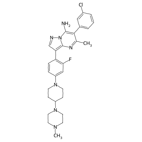 Cc1nc2c(-c3ccc(N4CCC(N5CCN(C)CC5)CC4)cc3F)cnn2c(N)c1-c1cccc(Cl)c1